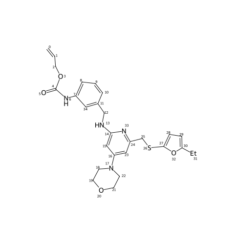 C=CCOC(=O)Nc1cccc(CNc2cc(N3CCOCC3)cc(CSc3ccc(CC)o3)n2)c1